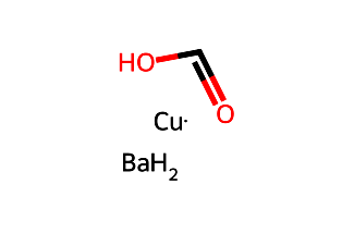 O=CO.[BaH2].[Cu]